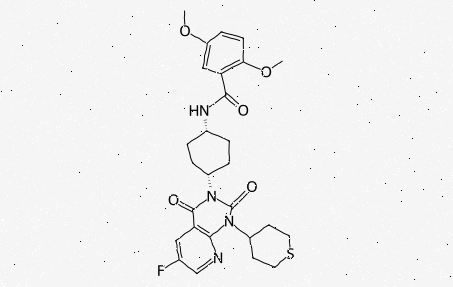 COc1ccc(OC)c(C(=O)N[C@H]2CC[C@@H](n3c(=O)c4cc(F)cnc4n(C4CCSCC4)c3=O)CC2)c1